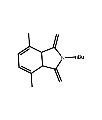 C=C1C2C(C)=CC=C(C)C2C(=C)N1CCCC